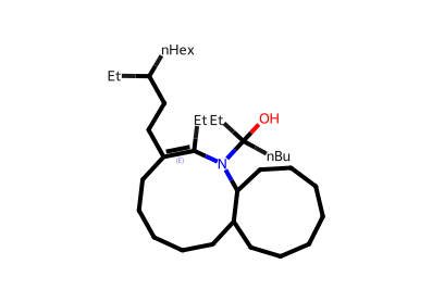 CCCCCCC(CC)CC/C1=C(\CC)N(C(O)(CC)CCCC)C2CCCCCCCC2CCCCC1